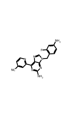 N#Cc1ccnc(-c2nc(N)nc3c2ncn3Cc2ccc(N)cc2F)c1